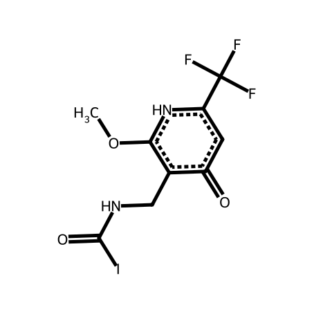 COc1[nH]c(C(F)(F)F)cc(=O)c1CNC(=O)I